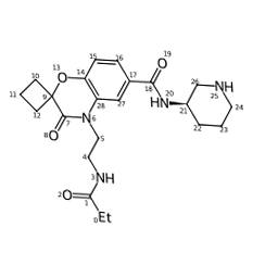 CCC(=O)NCCN1C(=O)C2(CCC2)Oc2ccc(C(=O)N[C@@H]3CCCNC3)cc21